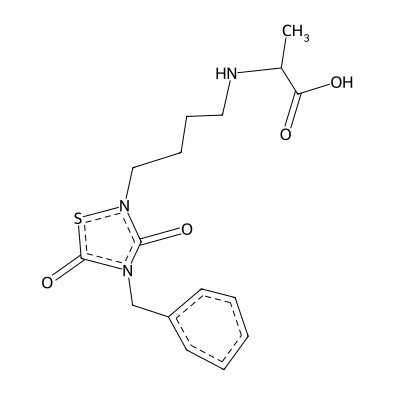 CC(NCCCCn1sc(=O)n(Cc2ccccc2)c1=O)C(=O)O